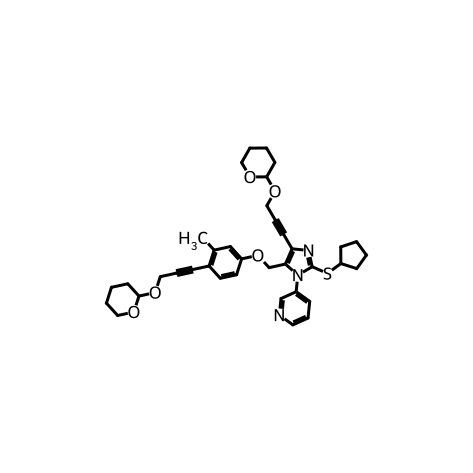 Cc1cc(OCc2c(C#CCOC3CCCCO3)nc(SC3CCCC3)n2-c2cccnc2)ccc1C#CCOC1CCCCO1